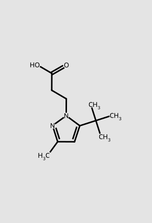 Cc1cc(C(C)(C)C)n(CCC(=O)O)n1